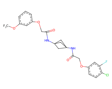 O=C(COc1cccc(OC(F)(F)F)c1)NC12CC(NC(=O)COc3ccc(Cl)c(F)c3)(C1)C2